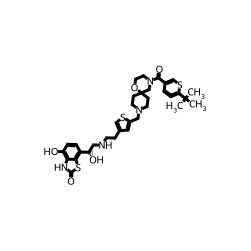 CC(C)(C)C1=C=CC(C(=O)N2CCOC3(CCN(Cc4cc(CCNC[C@H](O)c5ccc(O)c6[nH]c(=O)sc56)cs4)CC3)C2)=CS1